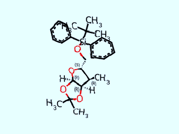 C[C@H]1[C@H]2OC(C)(C)O[C@H]2O[C@@H]1CO[Si](c1ccccc1)(c1ccccc1)C(C)(C)C